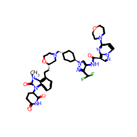 Cn1c(=O)n(C2CCC(=O)NC2=O)c2cccc(CC[C@H]3CN(C[C@H]4CC[C@H](n5cc(NC(=O)c6cnn7ccc(N8CCCOCC8)nc67)c(C(F)F)n5)CC4)CCO3)c21